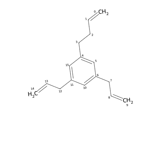 C=CCCc1cc(CC=C)cc(CC=C)c1